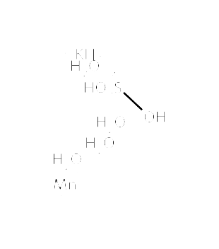 O.O.O.O.O=S(=O)(O)O.[KH].[Mn]